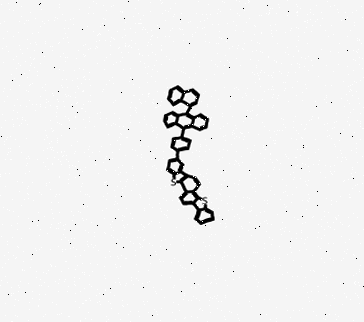 c1ccc2c(-c3c4ccccc4c(-c4ccc(-c5ccc6sc7c(ccc8c7ccc7c9ccccc9sc78)c6c5)cc4)c4ccccc34)cccc2c1